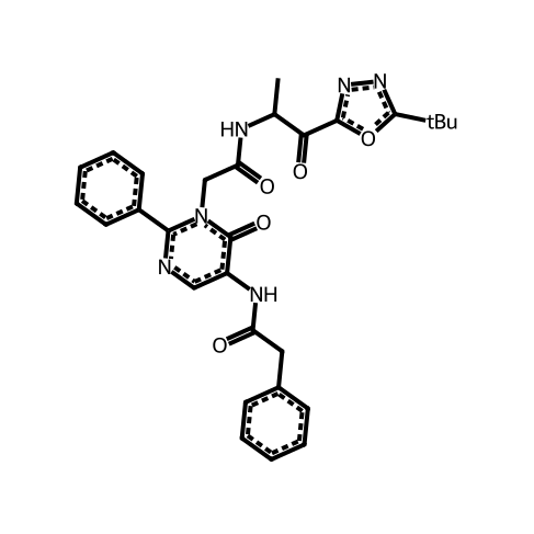 CC(NC(=O)Cn1c(-c2ccccc2)ncc(NC(=O)Cc2ccccc2)c1=O)C(=O)c1nnc(C(C)(C)C)o1